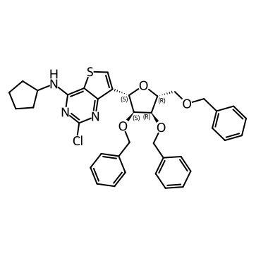 Clc1nc(NC2CCCC2)c2scc([C@@H]3O[C@H](COCc4ccccc4)[C@@H](OCc4ccccc4)[C@H]3OCc3ccccc3)c2n1